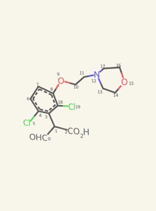 O=CC(C(=O)O)c1c(Cl)ccc(OCCN2CCOCC2)c1Cl